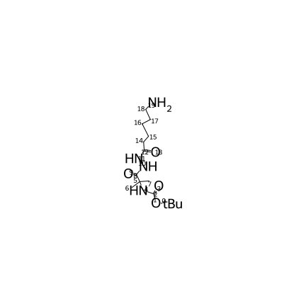 CC(C)(C)OC(=O)NC(C)(C)C(=O)NNC(=O)CCCCCN